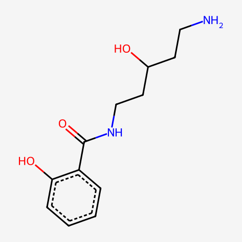 NCCC(O)CCNC(=O)c1ccccc1O